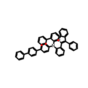 c1ccc(-c2ccc(-c3ccc(N(c4ccccc4-c4ccccc4)c4ccccc4-c4oc5ccccc5c4-c4ccccc4)cc3)cc2)cc1